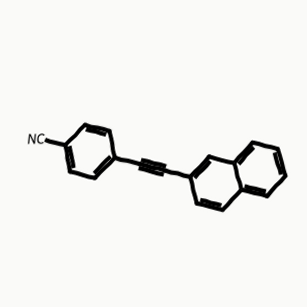 N#Cc1ccc(C#Cc2ccc3ccccc3c2)cc1